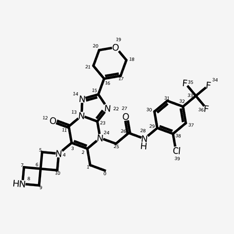 CCc1c(N2CC3(CNC3)C2)c(=O)n2nc(C3=CCOCC3)nc2n1CC(=O)Nc1ccc(C(F)(F)F)cc1Cl